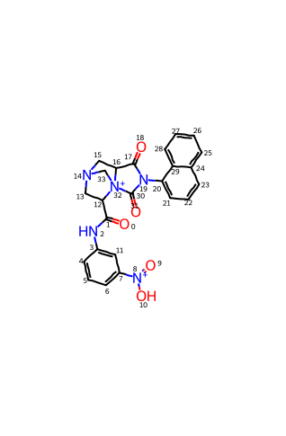 O=C(Nc1cccc([N+](=O)O)c1)C1CN2CC3C(=O)N(c4cccc5ccccc45)C(=O)[N+]13C2